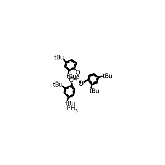 CC(C)(C)c1ccc(OP(Oc2ccc(C(C)(C)C)cc2C(C)(C)C)Oc2ccc(C(C)(C)C)cc2C(C)(C)C)c(C(C)(C)C)c1.P